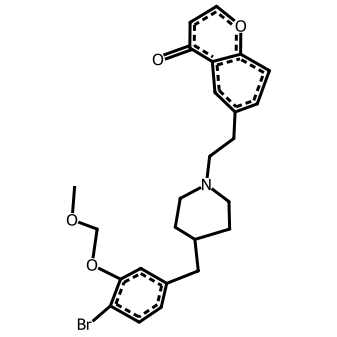 COCOc1cc(CC2CCN(CCc3ccc4occc(=O)c4c3)CC2)ccc1Br